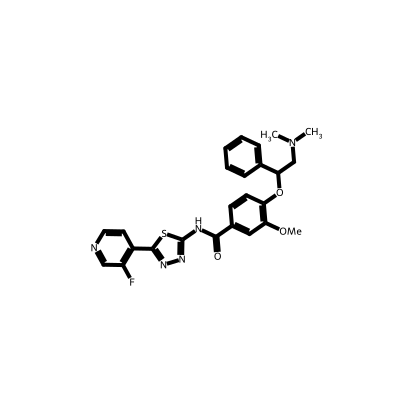 COc1cc(C(=O)Nc2nnc(-c3ccncc3F)s2)ccc1OC(CN(C)C)c1ccccc1